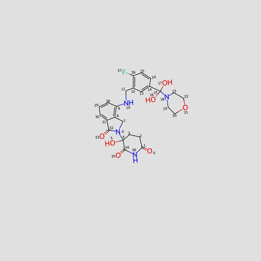 O=C1CCC(O)(N2Cc3c(NCc4cc(C(O)(O)N5CCOCC5)ccc4F)cccc3C2=O)C(=O)N1